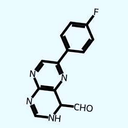 O=CC1NC=Nc2ncc(-c3ccc(F)cc3)nc21